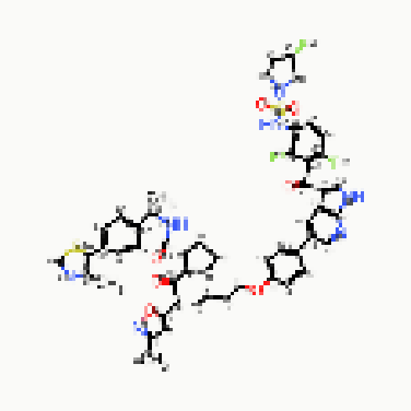 Cc1cc([C@@H](CCCCOc2ccc(-c3cnc4[nH]cc(C(=O)c5c(F)ccc(NS(=O)(=O)N6CC[C@@H](F)C6)c5F)c4c3)cc2)C(=O)C2CCC[C@H]2C(=O)N[C@@H](C)c2ccc(-c3scnc3C)cc2)on1